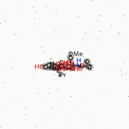 COc1ccc(C(=O)OC2C(OC3C(O)COC(O[C@H]4C[C@H]5[C@@H]6CC=C7C[C@@H](O)CC[C@]7(C)C6CC[C@]5(C)[C@@]4(O)[C@H](C)C(=O)CCC(C)C)C3O)OCC(O)C2OC(=O)CCNC(=O)OCC2c3ccccc3-c3ccccc32)cc1